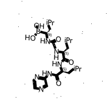 CC(C)C[C@H](NC(=O)N[C@@H](CC(C)C)C(=O)N[C@@H](CC(C)C)C(=O)Nc1cnccn1)B(O)O